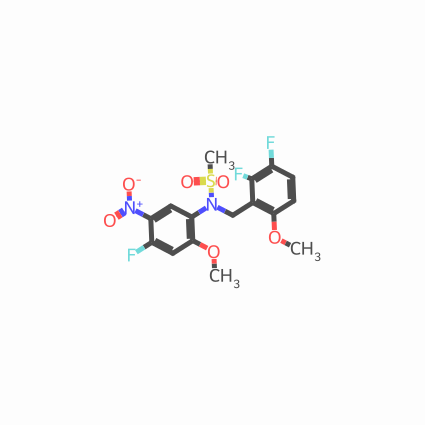 COc1cc(F)c([N+](=O)[O-])cc1N(Cc1c(OC)ccc(F)c1F)S(C)(=O)=O